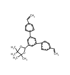 C=Cc1ccc(-c2cc(B3OC(C)(C)C(C)(C)O3)cc(-c3ccc(C=C)cc3)c2)cc1